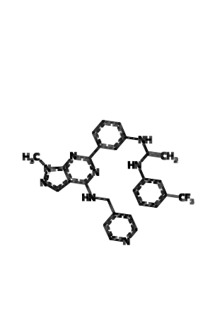 C=C(Nc1cccc(-c2nc(NCc3ccncc3)c3cnn(C)c3n2)c1)Nc1cccc(C(F)(F)F)c1